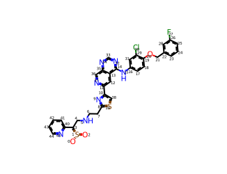 O=S(=O)=C(CNCCc1nc(-c2cc3c(Nc4ccc(OCc5cccc(F)c5)c(Cl)c4)ncnc3cn2)cs1)c1ccccn1